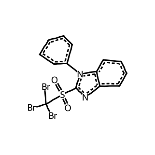 O=S(=O)(c1nc2ccccc2n1-c1ccccc1)C(Br)(Br)Br